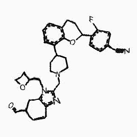 N#Cc1ccc(C2CCc3cccc(C4CCN(Cc5nc6c(n5CC5CCO5)CC(C=O)C=C6)CC4)c3O2)c(F)c1